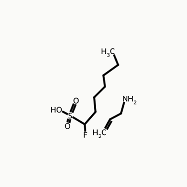 C=CCN.CCCCCCC(F)S(=O)(=O)O